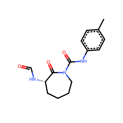 Cc1ccc(NC(=O)N2CCCC[C@H](NC=O)C2=O)cc1